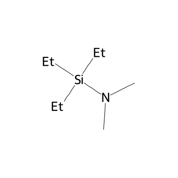 CC[Si](CC)(CC)N(C)C